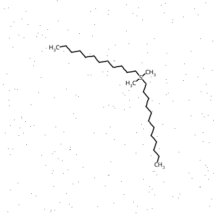 CCCCCCCCCCCCS(C)(C)CCCCCCCCCCCC